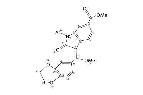 COC(=O)c1ccc2c(c1)N(C(C)=O)C(=O)C2=C(OC)c1ccc2c(c1)OCCO2